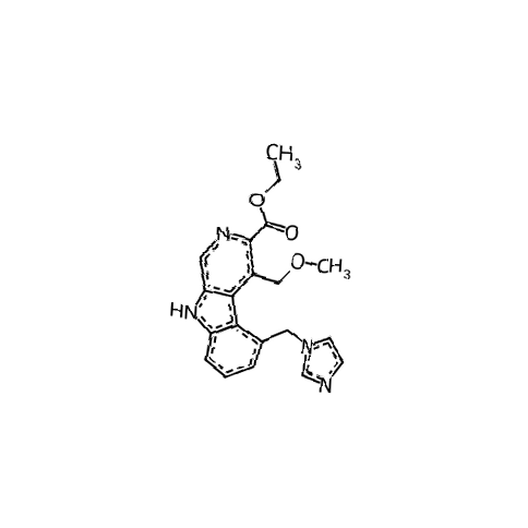 CCOC(=O)c1ncc2[nH]c3cccc(Cn4ccnc4)c3c2c1COC